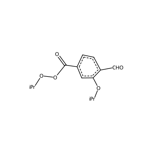 CC(C)OOC(=O)c1ccc(C=O)c(OC(C)C)c1